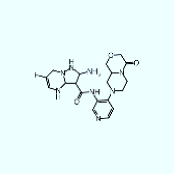 NC1NN2CC(F)=CNC2C1C(=O)Nc1cnccc1N1CCN2C(=O)COCC2C1